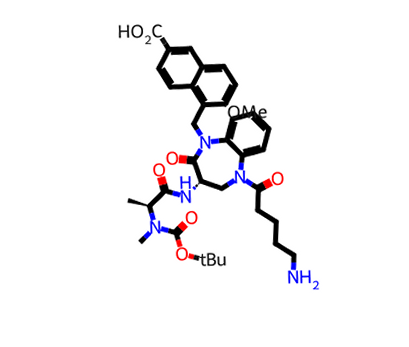 COc1ccc2cc(C(=O)O)ccc2c1CN1C(=O)[C@@H](NC(=O)[C@H](C)N(C)C(=O)OC(C)(C)C)CN(C(=O)CCCCN)c2ccccc21